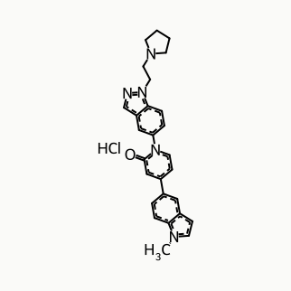 Cl.Cn1ccc2cc(-c3ccn(-c4ccc5c(cnn5CCN5CCCC5)c4)c(=O)c3)ccc21